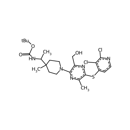 Cc1nc(N2CCC(C)(C(C)NC(=O)OC(C)(C)C)CC2)c(CO)nc1Sc1ccnc(Cl)c1Cl